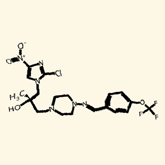 C[C@](O)(CN1CCN(/N=C/c2ccc(OC(F)(F)F)cc2)CC1)Cn1cc([N+](=O)[O-])nc1Cl